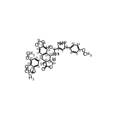 COc1ccc(-n2cc(C(O)N[C@@H]3c4cc5c(cc4[C@@H](c4cc(OC)c(OC)c(OC)c4)[C@H]4C(=O)OC[C@@H]43)OCO5)nn2)cc1